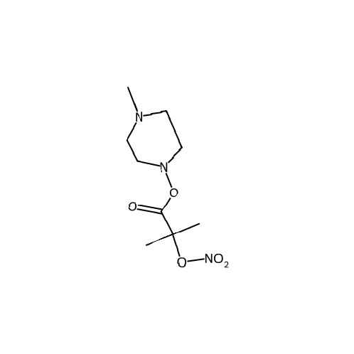 CN1CCN(OC(=O)C(C)(C)O[N+](=O)[O-])CC1